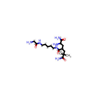 CC(C)(CC(CC(N)C(N)=O)C(=O)NCCCCCNC(=O)CN)C(N)=O